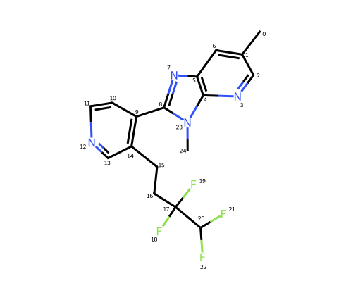 Cc1cnc2c(c1)nc(-c1ccncc1CCC(F)(F)C(F)F)n2C